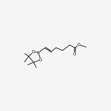 COC(=O)CCC/C=C/B1OC(C)(C)C(C)(C)O1